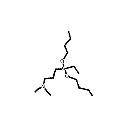 CCCCO[Si](CC)(CCCN(C)C)OCCCC